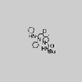 Cc1cc(C(=O)NC(C)(C)C)nc2c1c(=O)cc(Nc1ccccc1)n2-c1ccccc1